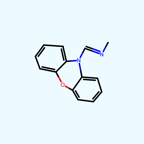 CN=CN1c2ccccc2Oc2ccccc21